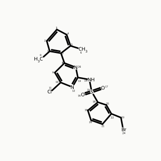 Cc1cccc(C)c1-c1cc(Cl)nc(NS(=O)(=O)c2cccc(CBr)c2)n1